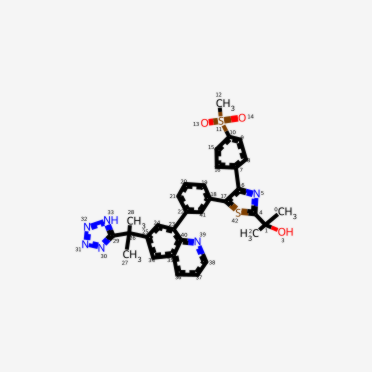 CC(C)(O)c1nc(-c2ccc(S(C)(=O)=O)cc2)c(-c2cccc(-c3cc(C(C)(C)c4nnn[nH]4)cc4cccnc34)c2)s1